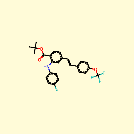 CC(C)(C)OC(=O)c1ccc(C=Cc2ccc(OC(F)(F)F)cc2)cc1Nc1ccc(F)cc1